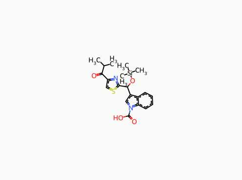 CC(C)C(=O)c1csc(C(O[Si](C)(C)C)c2cn(C(=O)O)c3ccccc23)n1